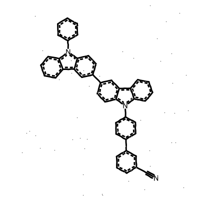 N#Cc1cccc(-c2ccc(-n3c4ccccc4c4cc(-c5ccc6c(c5)c5ccccc5n6-c5ccccc5)ccc43)cc2)c1